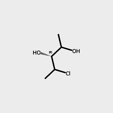 CC(O)[C@@H](O)C(C)Cl